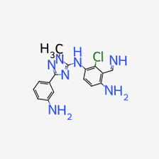 Cn1nc(-c2cccc(N)c2)nc1Nc1ccc(N)c(C=N)c1Cl